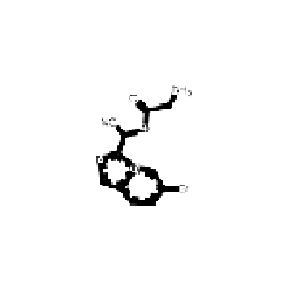 N#CC(OC(=O)CN)c1ncc2ccc(Br)cn12